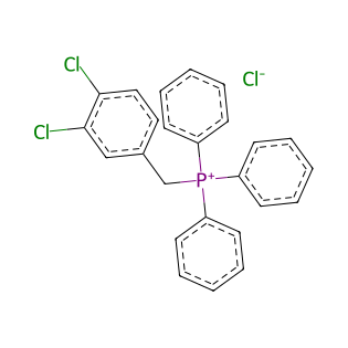 Clc1ccc(C[P+](c2ccccc2)(c2ccccc2)c2ccccc2)cc1Cl.[Cl-]